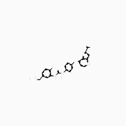 NCc1ccc(F)c(NC(=O)Nc2ccc(Oc3ccnc4cc(C(=O)O)sc34)cc2)c1